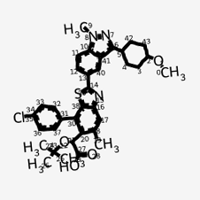 COC1CCC(c2nn(C)c3ccc(-c4nc5cc(C)c([C@H](OC(C)(C)C)C(=O)O)c(-c6ccc(Cl)cc6)c5s4)cc23)CC1